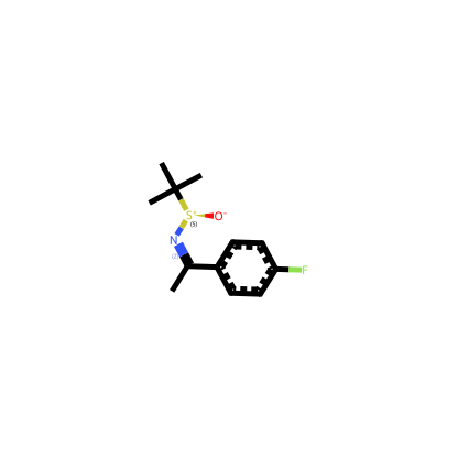 C/C(=N/[S@+]([O-])C(C)(C)C)c1ccc(F)cc1